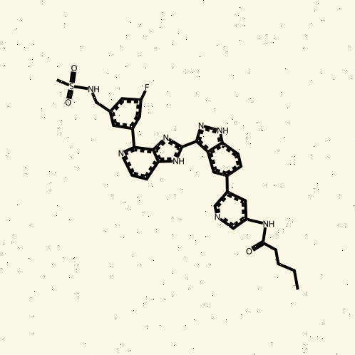 CCCCC(=O)Nc1cncc(-c2ccc3[nH]nc(-c4nc5c(-c6cc(F)cc(CNS(C)(=O)=O)c6)nccc5[nH]4)c3c2)c1